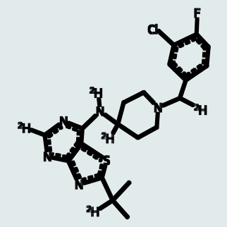 [2H]c1nc(N([2H])C2([2H])CCN(C([2H])c3ccc(F)c(Cl)c3)CC2)c2sc(C([2H])(C)C)nc2n1